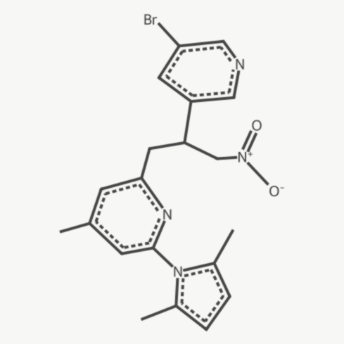 Cc1cc(CC(C[N+](=O)[O-])c2cncc(Br)c2)nc(-n2c(C)ccc2C)c1